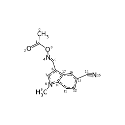 CC(=O)ON=Cc1cn(C)c2ccc(C#N)cc12